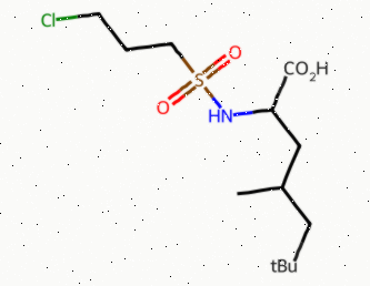 CC(CC(NS(=O)(=O)CCCCl)C(=O)O)CC(C)(C)C